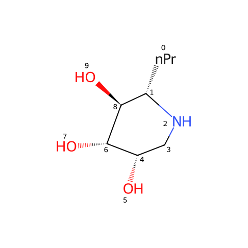 CCC[C@@H]1NC[C@H](O)[C@H](O)[C@H]1O